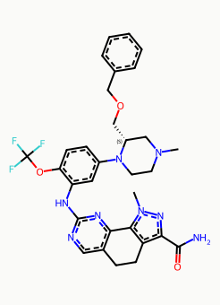 CN1CCN(c2ccc(OC(F)(F)F)c(Nc3ncc4c(n3)-c3c(c(C(N)=O)nn3C)CC4)c2)[C@H](COCc2ccccc2)C1